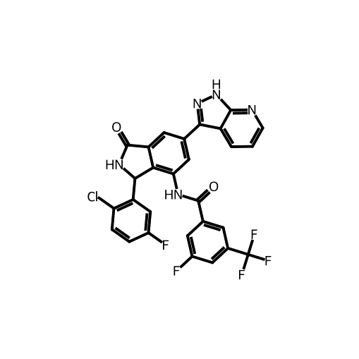 O=C(Nc1cc(-c2n[nH]c3ncccc23)cc2c1C(c1cc(F)ccc1Cl)NC2=O)c1cc(F)cc(C(F)(F)F)c1